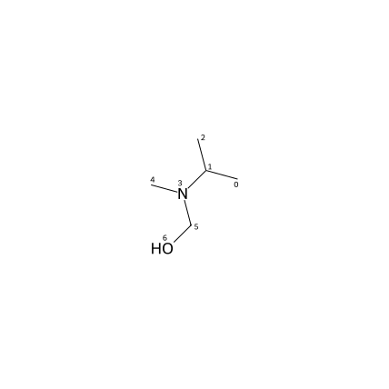 CC(C)N(C)CO